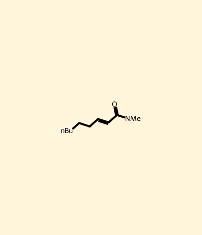 CCCCCC/C=C/C(=O)NC